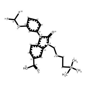 C[Si](C)(C)CCOCn1c(=O)n(-c2cccc(OC(F)F)c2)c2ccc(C(=O)O)cc21